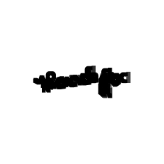 CCC(C)n1ncn(-c2ccc(N3CCN(c4ccc(OC[C@@H]5CO[C@@](Cn6nccn6)(c6ccc(Cl)cc6Cl)O5)c(Cl)c4)CC3)cc2)c1=O